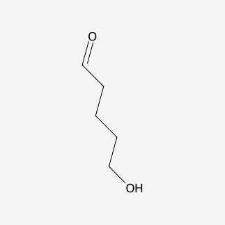 O=CCCCCO